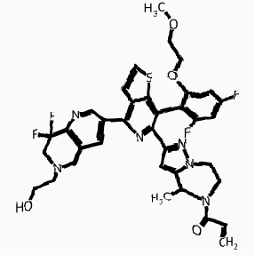 C=CC(=O)N1CCn2nc(-c3nc(-c4cnc5c(c4)CN(CCO)CC5(F)F)c4ccsc4c3-c3c(F)cc(F)cc3OCCOC)cc2C1C